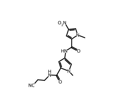 Cn1cc(NC(=O)c2cc([N+](=O)[O-])cn2C)cc1C(=O)NCCC#N